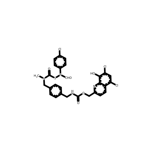 CN(Cc1ccc(CNC(=O)OCc2ccc3c(Cl)cc(Cl)c(O)c3n2)cc1)C(=O)SN(C=O)c1ccc(Cl)cc1